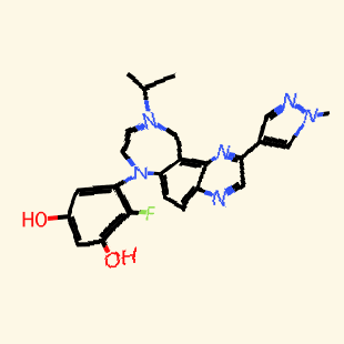 CC(C)N1CCN(c2cc(O)cc(O)c2F)c2ccc3ncc(-c4cnn(C)c4)nc3c2C1